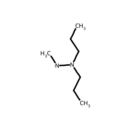 CCCN(CCC)[N]C